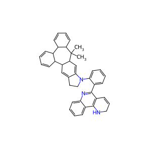 CC1(C)C2C=CC=CC2C2C=CC=CC2C2C=C3CCN(c4ccccc4-c4nc5ccccc5c5c4C=CCN5)C3=CC21